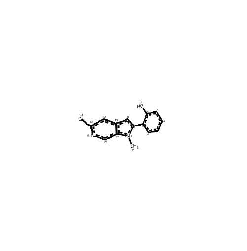 Cn1c(-c2ccccc2O)cc2cc(Cl)ncc21